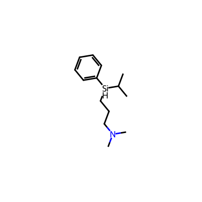 CC(C)[SiH](CCCN(C)C)c1ccccc1